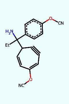 CCC(N)(c1ccc(OC#N)cc1)C1C#CC=C(OC#N)C=C1